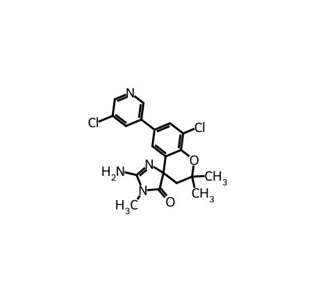 CN1C(=O)C2(CC(C)(C)Oc3c(Cl)cc(-c4cncc(Cl)c4)cc32)N=C1N